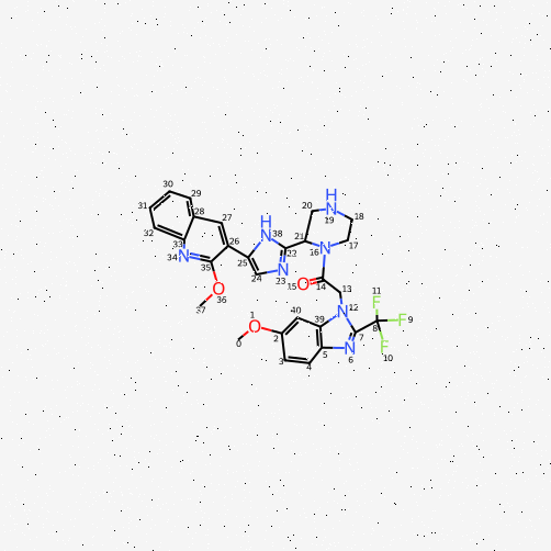 COc1ccc2nc(C(F)(F)F)n(CC(=O)N3CCNCC3c3ncc(-c4cc5ccccc5nc4OC)[nH]3)c2c1